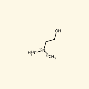 [13CH3][15N]([13CH3])CCO